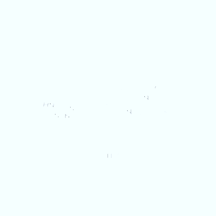 CCCCc1c(F)n(C(=O)c2ccccc2)c(=O)n1Cc1ccc(-c2ccccc2-c2nnn[nH]2)cc1